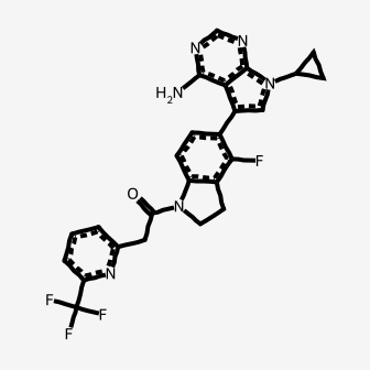 Nc1ncnc2c1c(-c1ccc3c(c1F)CCN3C(=O)Cc1cccc(C(F)(F)F)n1)cn2C1CC1